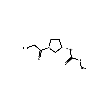 CC(C)(C)OC(=O)N[C@H]1CCN(C(=O)CO)C1